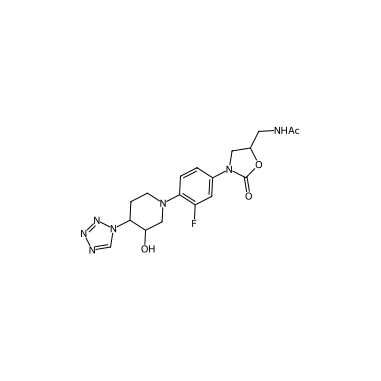 CC(=O)NCC1CN(c2ccc(N3CCC(n4cnnn4)C(O)C3)c(F)c2)C(=O)O1